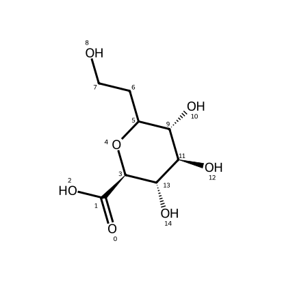 O=C(O)[C@H]1OC(CCO)[C@H](O)[C@@H](O)[C@@H]1O